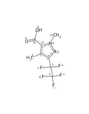 Cc1c(C(F)(F)C(F)(F)F)nn(C)c1C(=O)O